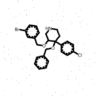 Clc1ccc(C2(OCc3ccccc3)CCNCC2OCc2cccc(Br)c2)cc1